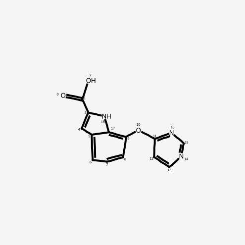 O=C(O)c1cc2cccc(Oc3ccncn3)c2[nH]1